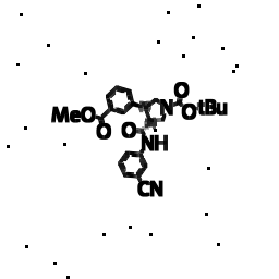 COC(=O)c1cccc([C@H]2CN(C(=O)OC(C)(C)C)C[C@@H]2C(=O)Nc2cccc(C#N)c2)c1